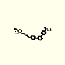 C=CC(=O)OCCCCCc1ccc(-c2cccc(-c3ccc(C(=C)CC)cc3)c2)cc1